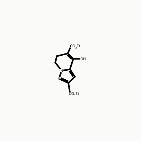 CCOC(=O)C1=C(O)c2cc(C(=O)OCC)nn2CC1